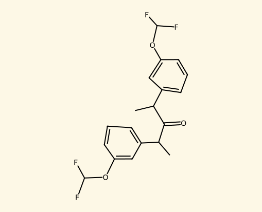 CC(C(=O)C(C)c1cccc(OC(F)F)c1)c1cccc(OC(F)F)c1